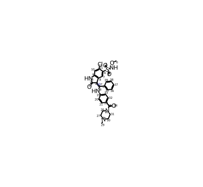 CONS(=O)(=O)c1cc2c(cc1Cl)NC(=O)/C2=C(\Nc1ccc(C(=O)N2CCN(C)CC2)cc1)c1ccccc1